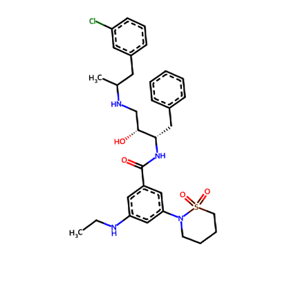 CCNc1cc(C(=O)N[C@@H](Cc2ccccc2)[C@H](O)CNC(C)Cc2cccc(Cl)c2)cc(N2CCCCS2(=O)=O)c1